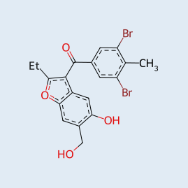 CCc1oc2cc(CO)c(O)cc2c1C(=O)c1cc(Br)c(C)c(Br)c1